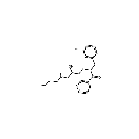 CCCCNCC(O)COC(Cc1cccc(F)c1)C(=O)c1ccccc1